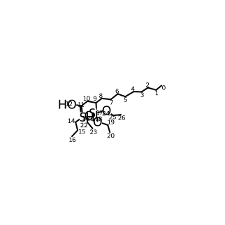 CCCCCCCCCC(CC(O)=[SH]CCC)[Si](OCC)(OCC)OCC